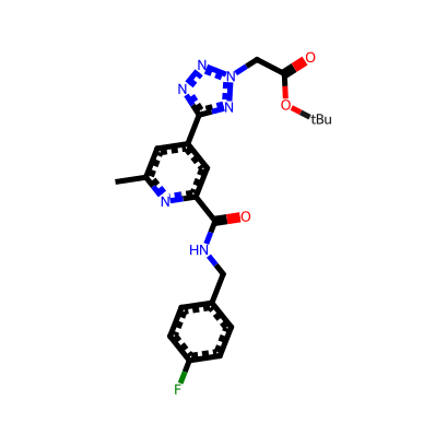 Cc1cc(-c2nnn(CC(=O)OC(C)(C)C)n2)cc(C(=O)NCc2ccc(F)cc2)n1